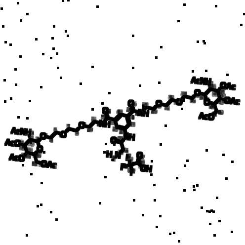 CC(=O)N[C@@H]1C(OCCOCCOCCNC(=O)c2cc(NC(=O)CN)cc(C(=O)NCCOCCOCCOC3O[C@H](COC(C)=O)[C@H](OC(C)=O)[C@H](OC(C)=O)[C@H]3NC(C)=O)c2)O[C@@H](COC(C)=O)[C@@H](OC(C)=O)[C@H]1OC(C)=O.O=C(O)C(F)(F)F